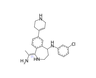 C/C(N)=C1/NCCC(Nc2cccc(Cl)c2)c2cc(C3=CCNCC3)ccc21